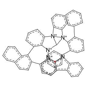 c1ccc(-c2cccc(-c3ccccc3)c2[N+]23c4ccccc4[N+]24c2cccc5c2[N+]2(c6c(ccc7c8ccccc8n(c67)-c6cccc[n+]62)-c2ccc6ccccc6c2-5)C43)cc1